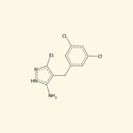 CCc1n[nH]c(N)c1Cc1cc(Cl)cc(Cl)c1